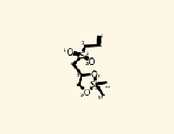 C=CCS(=O)(=O)CC1CO[Si](C)(C)O1